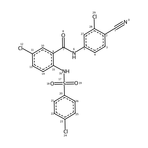 N#Cc1ccc(NC(=O)c2cc(Cl)ccc2NS(=O)(=O)c2ccc(Cl)cc2)cc1Cl